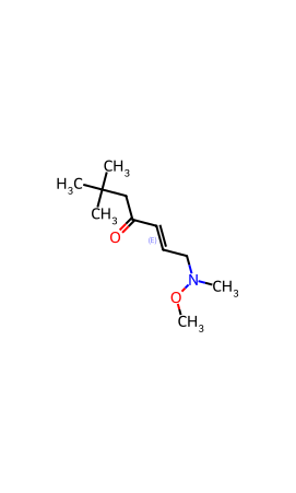 CON(C)C/C=C/C(=O)CC(C)(C)C